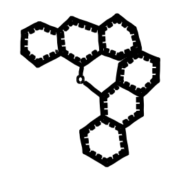 c1ccc2c(Oc3c4ccccc4cc4ccccc34)c3ccccc3cc2c1